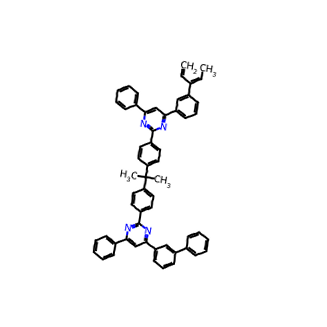 C=C/C(=C\C)c1cccc(-c2cc(-c3ccccc3)nc(-c3ccc(C(C)(C)c4ccc(-c5nc(-c6ccccc6)cc(-c6cccc(-c7ccccc7)c6)n5)cc4)cc3)n2)c1